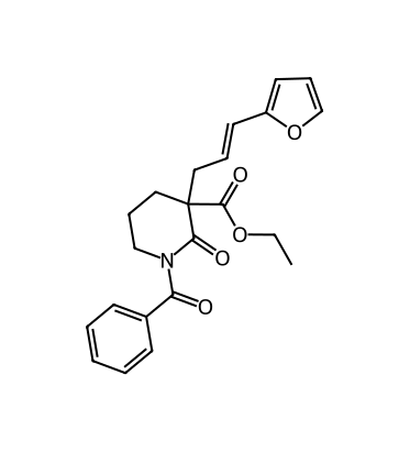 CCOC(=O)C1(CC=Cc2ccco2)CCCN(C(=O)c2ccccc2)C1=O